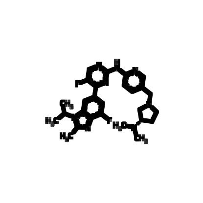 Cc1nc2c(F)cc(-c3nc(Nc4ccc(CN5CC[C@H](N(C)C)C5)cn4)ncc3F)cc2n1C(C)C